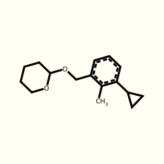 Cc1c(COC2CCCCO2)cccc1C1CC1